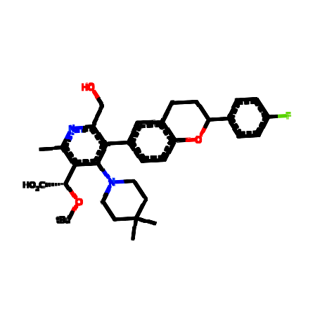 Cc1nc(CO)c(-c2ccc3c(c2)CCC(c2ccc(F)cc2)O3)c(N2CCC(C)(C)CC2)c1[C@H](OC(C)(C)C)C(=O)O